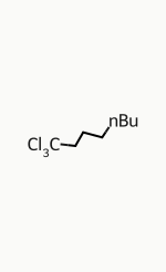 [CH2]CCCCCCC(Cl)(Cl)Cl